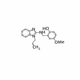 C=CCn1c(NCc2cc(OC)ccc2O)nc2ccccc21